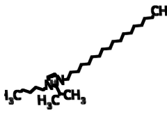 CCCCCCCCCCCCCCCCCCn1cc[n+](CCCCC)c1C(C)C